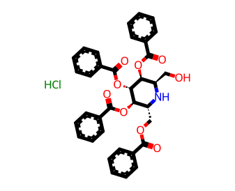 Cl.O=C(OC[C@H]1N[C@H](CO)[C@H](OC(=O)c2ccccc2)[C@@H](OC(=O)c2ccccc2)[C@@H]1OC(=O)c1ccccc1)c1ccccc1